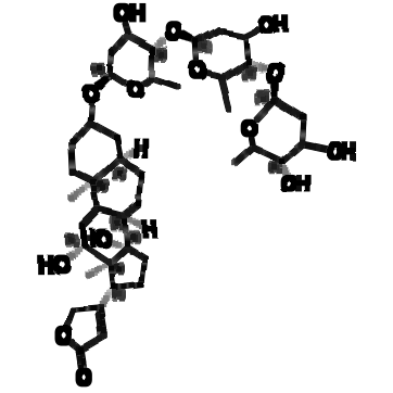 CC1O[C@@H](O[C@H]2C(O)C[C@H](O[C@H]3C(O)C[C@H](OC4CC[C@]5(C)C6C[C@@H](O)[C@]7(C)[C@@H](C8=CC(=O)OC8)CC[C@]7(O)[C@@H]6CC[C@@H]5C4)OC3C)OC2C)CC(O)[C@@H]1O